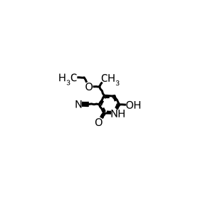 CCOC(C)c1cc(O)[nH]c(=O)c1C#N